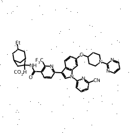 CCC1CC2CC(C1)C(NC(=O)c1ccc(-c3cn(-c4cccc(C#N)n4)c4cc(OC5CCN(c6ncccn6)CC5)ccc34)nc1C(F)(F)F)(C(=O)O)C2